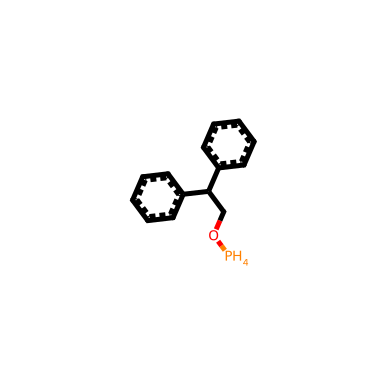 [PH4]OCC(c1ccccc1)c1ccccc1